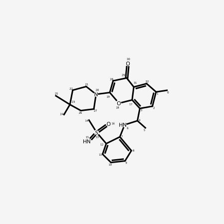 Cc1cc(C(C)Nc2ccccc2S(C)(=N)=O)c2oc(N3CCC(C)(C)CC3)cc(=O)c2c1